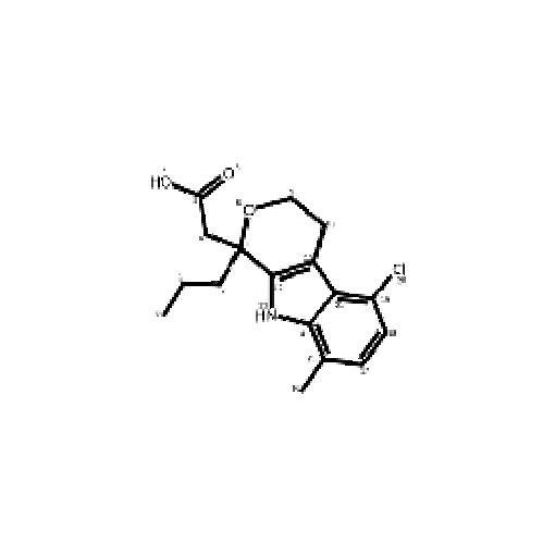 CCCC1(CC(=O)O)OCCc2c1[nH]c1c(C)ccc(Cl)c21